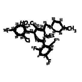 CCN1C(c2c(F)cc(F)cc2F)=NC(c2ccc(F)cc2Cl)C(C(=O)O)=C1CN1CCN(C)CC1